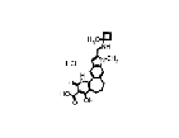 Cl.Cn1c(CNC2(C)CCC2)cc2cc3c(cc21)CCCc1c-3[nH]c(=O)c(C(=O)O)c1O